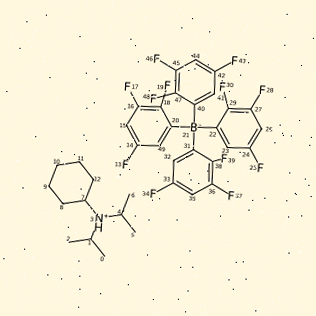 CC(C)[NH+](C(C)C)C1CCCCC1.Fc1cc(F)c(F)c([B-](c2cc(F)cc(F)c2F)(c2cc(F)cc(F)c2F)c2cc(F)cc(F)c2F)c1